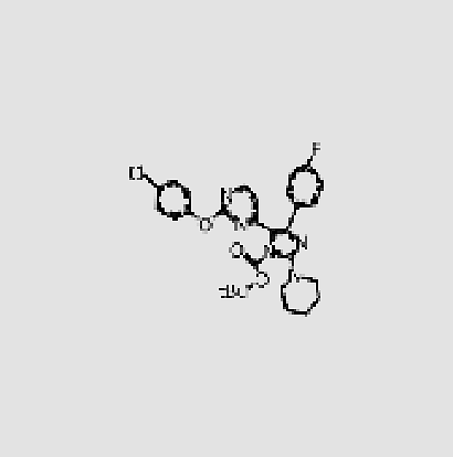 CC(C)(C)OC(=O)n1c(N2CCCCC2)nc(-c2ccc(F)cc2)c1-c1ccnc(Oc2ccc(Cl)cc2)n1